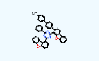 N#Cc1ccc(-c2ccc(-c3ccc4c(oc5ccccc54)c3-c3nc(-c4ccccc4)nc(-c4cccc5oc6ccccc6c45)n3)cc2)cc1